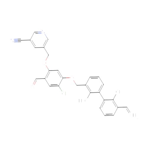 C=Cc1cccc(-c2cccc(COc3cc(OCc4cncc(C#N)c4)c(C=O)cc3Cl)c2C)c1C